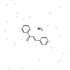 B.O=C(C=Cc1ccccc1)c1ccccc1